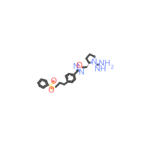 N=C(N)N1CCC[C@H]1Cc1nc(-c2ccc(CCCS(=O)(=O)c3ccccc3)cc2)no1